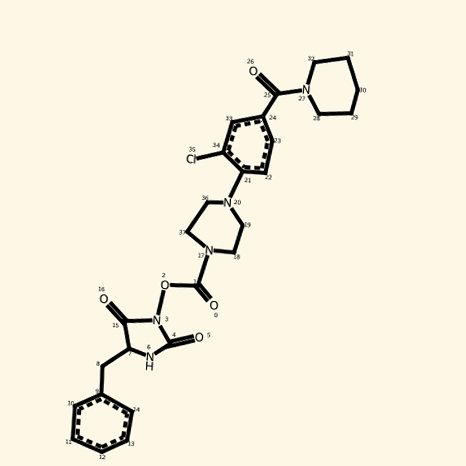 O=C(ON1C(=O)NC(Cc2ccccc2)C1=O)N1CCN(c2ccc(C(=O)N3CCCCC3)cc2Cl)CC1